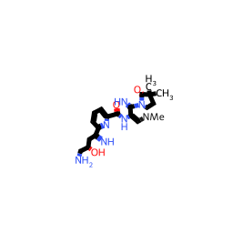 CN/C=C(/NC(=O)c1cccc(C(=N)CC(O)CN)n1)C(=N)N1CCC(C)(C)C1=O